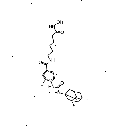 C[C@]12CC3CC(NC(=O)Nc4ccc(C(=O)NCCCCCC(=O)NO)cc4F)(C1)C[C@@](C)(C3)C2